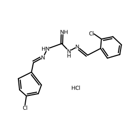 Cl.N=C(NN=Cc1ccc(Cl)cc1)NN=Cc1ccccc1Cl